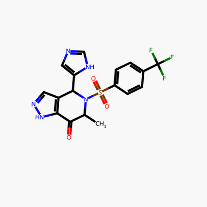 CC1C(=O)c2[nH]ncc2C(c2cnc[nH]2)N1S(=O)(=O)c1ccc(C(F)(F)F)cc1